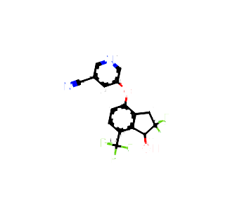 N#Cc1cncc(Oc2ccc(C(F)(F)F)c3c2CC(F)(F)C3O)c1